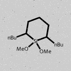 CCCCC1CCCC(CCCC)[Si]1(OC)OC